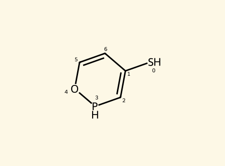 SC1=CPOC=C1